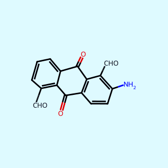 Nc1ccc2c(c1C=O)C(=O)c1cccc(C=O)c1C2=O